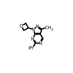 Cc1nn(C2COC2)c2nc(C(C)C)ncc12